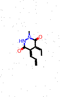 C=C/C=c1/c(=O)[nH]n(C)c(=O)/c1=C/C